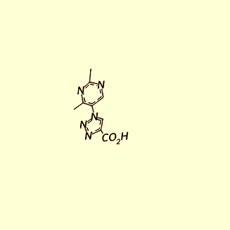 Cc1ncc(-n2cc(C(=O)O)nn2)c(C)n1